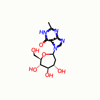 Cc1nc2ncn(C3C[C@H](O)[C@@H](O)[C@H](O)[C@@H](CO)O3)c2c(=O)[nH]1